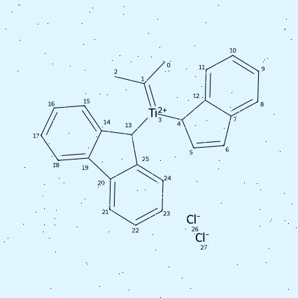 C[C](C)=[Ti+2]([CH]1C=Cc2ccccc21)[CH]1c2ccccc2-c2ccccc21.[Cl-].[Cl-]